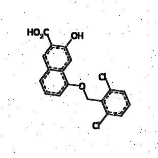 O=C(O)c1cc2cccc(OCc3c(Cl)cccc3Cl)c2cc1O